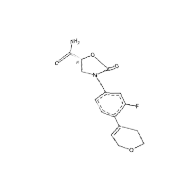 NC(=O)[C@H]1CN(c2ccc(C3=CCOCC3)c(F)c2)C(=O)O1